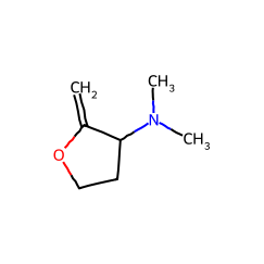 C=C1OCCC1N(C)C